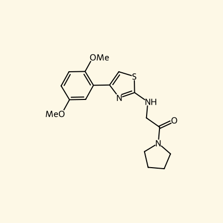 COc1ccc(OC)c(-c2csc(NCC(=O)N3CCCC3)n2)c1